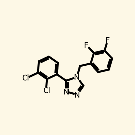 Fc1cccc(Cn2cnnc2-c2cccc(Cl)c2Cl)c1F